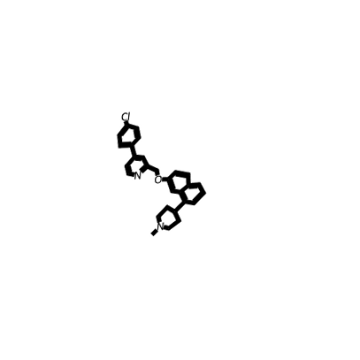 CN1CCC(c2cccc3ccc(OCc4cc(-c5ccc(Cl)cc5)ccn4)cc23)CC1